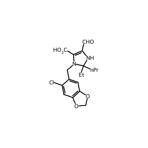 CCCC1(CC)NC(C=O)=C(C(=O)O)N1Cc1cc2c(cc1Cl)OCO2